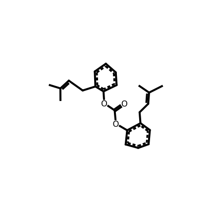 CC(C)=CCc1ccccc1OC(=O)Oc1ccccc1CC=C(C)C